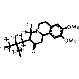 [2H]C1([2H])C(C([2H])([2H])C([2H])(C([2H])([2H])[2H])C([2H])([2H])C)C(=O)CC2c3cc(OC)c(OC)cc3CCN21